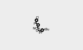 CC(C)C(C(=O)OC(C#N)c1cccc(C(F)c2ccc(Cl)cc2)c1)c1ccc(C(C)(C)C)cc1